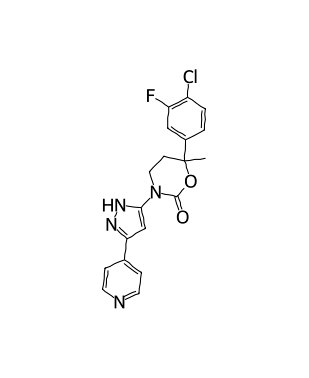 CC1(c2ccc(Cl)c(F)c2)CCN(c2cc(-c3ccncc3)n[nH]2)C(=O)O1